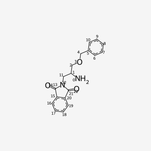 NC(COCc1ccccc1)CN1C(=O)c2ccccc2C1=O